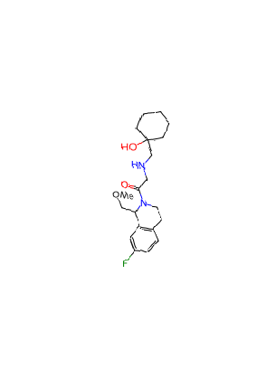 COCC1c2cc(F)ccc2CCN1C(=O)CNCC1(O)CCCCC1